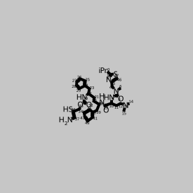 CC(C)c1nc(CN(C)C(=O)NC(CCN(C)C)C(=O)NC(CCC(Cc2ccccc2)NC(=O)OC/C(S)=C/N)Cc2ccccc2)cs1